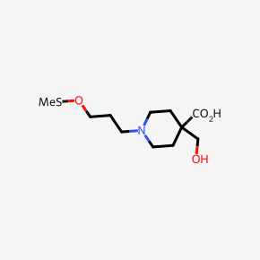 CSOCCCN1CCC(CO)(C(=O)O)CC1